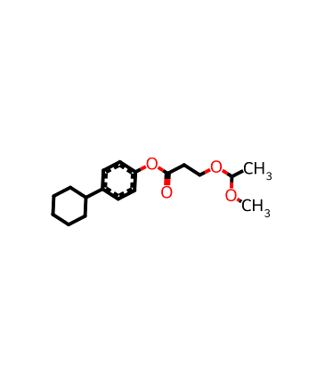 COC(C)OCCC(=O)Oc1ccc(C2CCCCC2)cc1